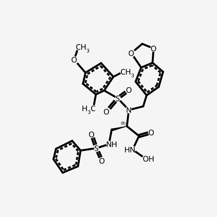 COc1cc(C)c(S(=O)(=O)N(Cc2ccc3c(c2)OCO3)[C@H](CNS(=O)(=O)c2ccccc2)C(=O)NO)c(C)c1